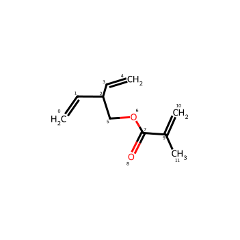 C=CC(C=C)COC(=O)C(=C)C